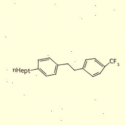 CCCCCCCc1ccc(CCc2ccc(C(F)(F)F)cc2)cc1